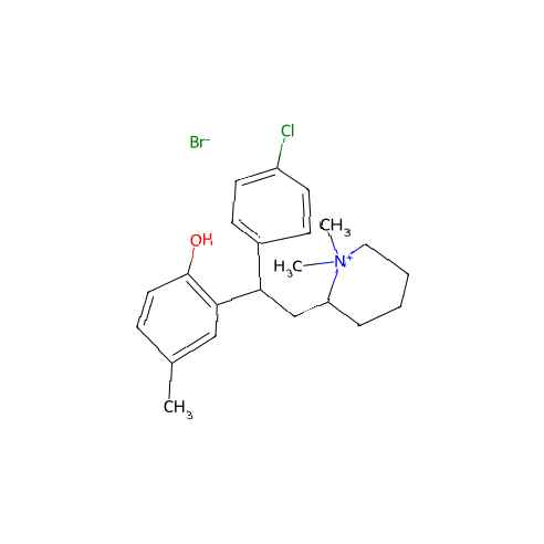 Cc1ccc(O)c(C(CC2CCCC[N+]2(C)C)c2ccc(Cl)cc2)c1.[Br-]